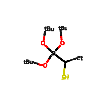 CCC(S)[Si](OC(C)(C)C)(OC(C)(C)C)OC(C)(C)C